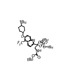 CC(C)(C)OC(=O)NCC(C)(OP(=O)(OC(C)(C)C)OC(C)(C)C)c1ccc2c(C(F)(F)F)c(OC3CCC(C(C)(C)C)CC3)ccc2n1